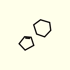 C1=CCCC1.C1CCCCC1